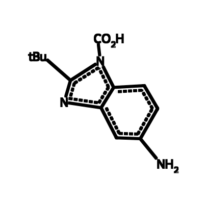 CC(C)(C)c1nc2cc(N)ccc2n1C(=O)O